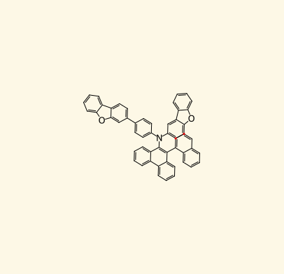 c1ccc2c(-c3c(N(c4ccc(-c5ccc6c(c5)oc5ccccc56)cc4)c4ccc5oc6ccccc6c5c4)c4ccccc4c4ccccc34)cccc2c1